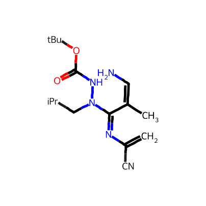 C=C(C#N)/N=C(\C(C)=C/N)N(CC(C)C)NC(=O)OC(C)(C)C